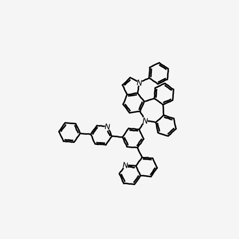 c1ccc(-c2ccc(-c3cc(-c4cccc5cccnc45)cc(N4c5ccccc5-c5ccccc5-c5c4ccc4ccn(-c6ccccc6)c54)c3)nc2)cc1